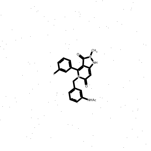 CC(=O)Nc1cccc(Cn2c(-c3cccc(I)c3)c3c(=O)n(C)[nH]c3cc2=O)c1